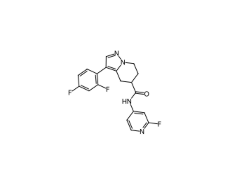 O=C(Nc1ccnc(F)c1)C1CCn2ncc(-c3ccc(F)cc3F)c2C1